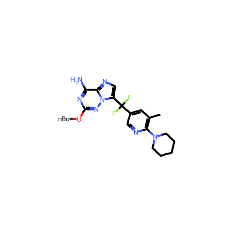 CCCCOc1nc(N)c2ncc(C(F)(F)c3cnc(N4CCCCC4)c(C)c3)n2n1